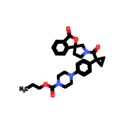 CCCOC(=O)N1CCN(c2ccc(C3(C(=O)N4CCC5(C4)OC(=O)c4ccccc45)CC3)cc2)CC1